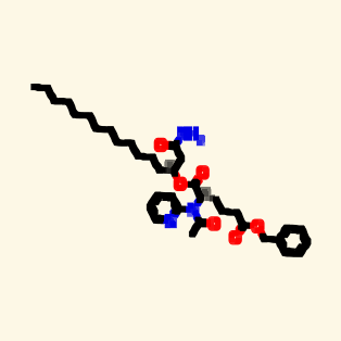 CCCCCCCCCCCCC[C@@H](CC(N)=O)OC(=O)[C@H](CCCC(=O)OCc1ccccc1)N(C(C)=O)c1ccccn1